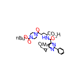 CCCCOC(=O)N1CCN(C(=O)CC[C@H](NC(=O)c2cc([C@@H]3C[C@H]3COC)nc(-c3ccccc3)n2)C(=O)O)CC1